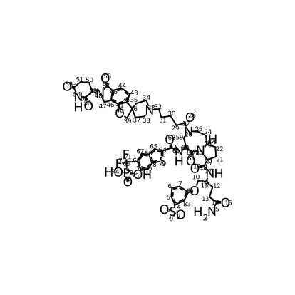 CS(=O)(=O)c1cccc(OC[C@H](CCC(N)=O)NC(=O)[C@@H]2CC[C@@H]3CCN(C(=O)CCCCN4CCC5(CC4)COc4c5ccc5c4CN([C@H]4CCC(=O)NC4=O)C5=O)C[C@H](NC(=O)c4cc5cc(C(F)(F)P(=O)(O)O)ccc5s4)C(=O)N32)c1